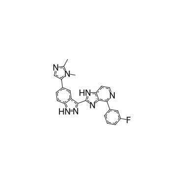 Cc1ncc(-c2ccc3[nH]nc(-c4nc5c(-c6cccc(F)c6)nccc5[nH]4)c3c2)n1C